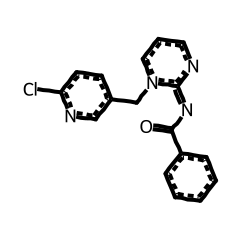 O=C(N=c1ncccn1Cc1ccc(Cl)nc1)c1ccccc1